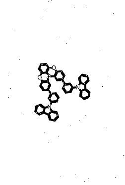 S=P12c3cc(-c4cccc(-n5c6ccccc6c6ccccc65)c4)ccc3Oc3cccc(c31)Oc1ccc(-c3cccc(-n4c5ccccc5c5ccccc54)c3)cc12